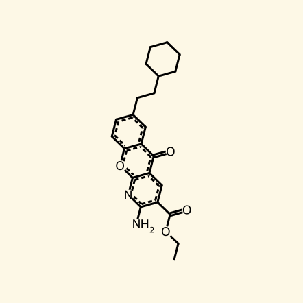 CCOC(=O)c1cc2c(=O)c3cc(CCC4CCCCC4)ccc3oc2nc1N